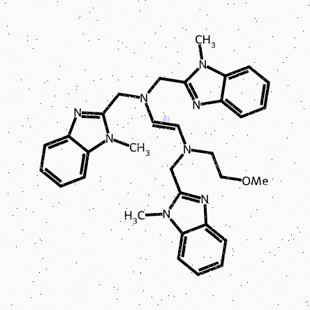 COCCN(/C=C/N(Cc1nc2ccccc2n1C)Cc1nc2ccccc2n1C)Cc1nc2ccccc2n1C